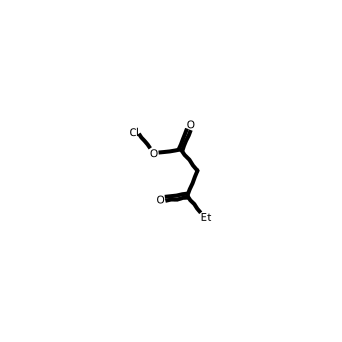 CCC(=O)CC(=O)OCl